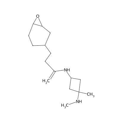 C=C(CCC1CCC2OC2C1)NC1CC(C)(NC)C1